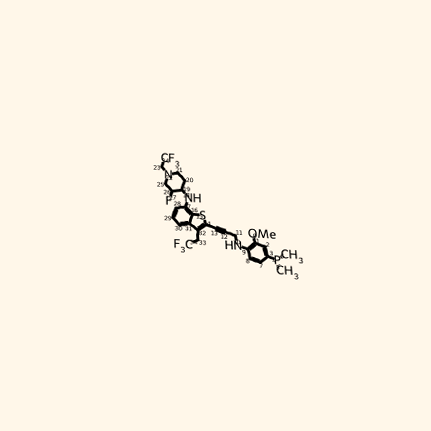 COc1cc(P(C)C)ccc1NCC#Cc1sc2c(NC3CCN(CC(F)(F)F)CC3F)cccc2c1CC(F)(F)F